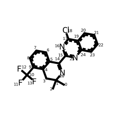 CC1(C)Cc2c(cccc2C(F)(F)F)C(c2nc(Cl)c3ccccc3n2)=N1